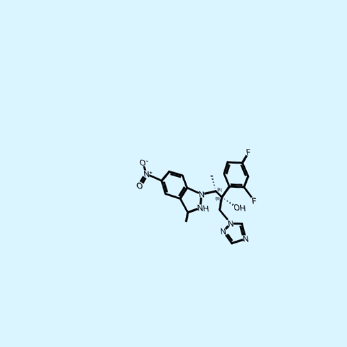 CC1NN([C@H](C)[C@](O)(Cn2cncn2)c2ccc(F)cc2F)c2ccc([N+](=O)[O-])cc21